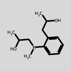 CC(O)Cc1ccccc1N(C)CC(C)O